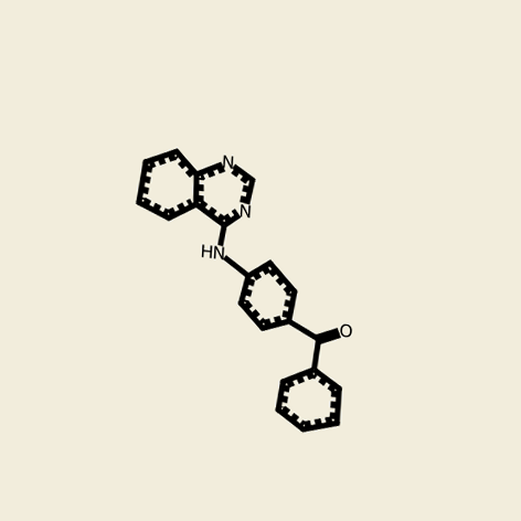 O=C(c1ccccc1)c1ccc(Nc2ncnc3ccccc23)cc1